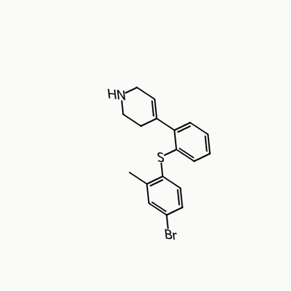 Cc1cc(Br)ccc1Sc1ccccc1C1=CCNCC1